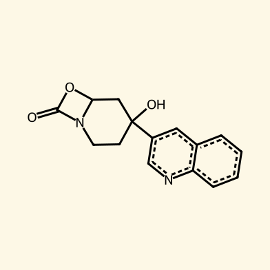 O=C1OC2CC(O)(c3cnc4ccccc4c3)CCN12